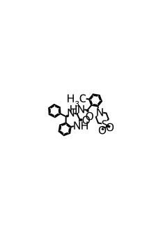 Cc1cccc(N2CCS(=O)(=O)CC2)c1C(=O)NC1N=C(c2ccccc2)c2ccccc2NC1=O